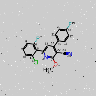 COc1nc(-c2c(F)cccc2Cl)cc(-c2ccc(F)cc2)c1C#N